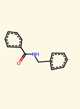 O=C(NCc1cc[c]cc1)c1ccccc1